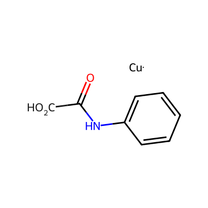 O=C(O)C(=O)Nc1ccccc1.[Cu]